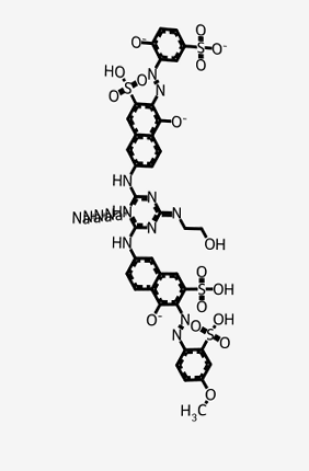 COc1ccc(N=Nc2c(S(=O)(=O)O)cc3cc(Nc4nc(=NCCO)nc(Nc5ccc6c([O-])c(N=Nc7cc(S(=O)(=O)[O-])ccc7[O-])c(S(=O)(=O)O)cc6c5)[nH]4)ccc3c2[O-])c(S(=O)(=O)O)c1.[Na+].[Na+].[Na+].[Na+]